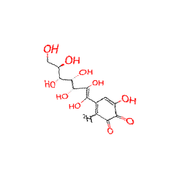 [2H]C1=C(/C(O)=C(\O)[C@H](O)[C@@H](O)[C@H](O)[C@H](O)CO)C=C(O)C(=O)C1=O